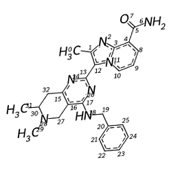 Cc1nc2c(C(N)=O)cccn2c1-c1nc2c(c(NCc3ccccc3)n1)CN(C)C(C)C2